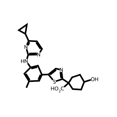 Cc1cc(Nc2nccc(C3CC3)n2)cc(-c2cnc(C3(C(=O)O)CCC(O)CC3)s2)c1